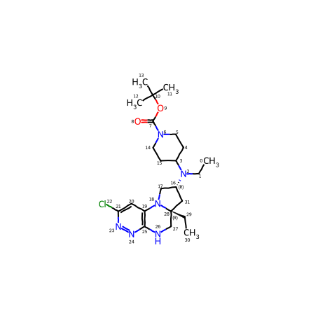 CCN(C1CCN(C(=O)OC(C)(C)C)CC1)[C@H]1CN2c3cc(Cl)nnc3NC[C@@]2(CC)C1